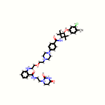 CC1(C)[C@H](NC(=O)c2ccc(N3CCN(CCOCCNc4ccccc4C(=O)NCCN4CCC(=O)NC4=O)CC3)cc2)C(C)(C)[C@H]1Oc1ccc(C#N)c(Cl)c1